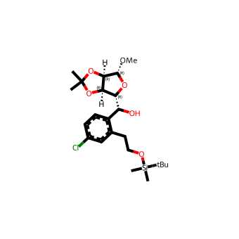 CO[C@@H]1O[C@H](C(O)c2ccc(Cl)cc2CCO[Si](C)(C)C(C)(C)C)[C@H]2OC(C)(C)O[C@@H]12